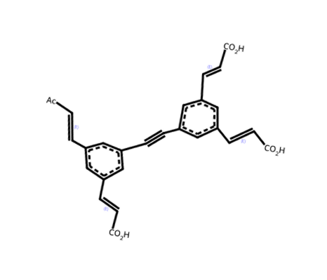 CC(=O)/C=C/c1cc(C#Cc2cc(/C=C/C(=O)O)cc(/C=C/C(=O)O)c2)cc(/C=C/C(=O)O)c1